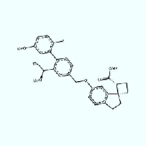 COC(=O)[C@@H]1CC[C@@]12CCc1ccc(OCc3ccc(-c4cc(OC)ccc4F)c([C@@H](OC)C(C)(C)C)c3)cc12